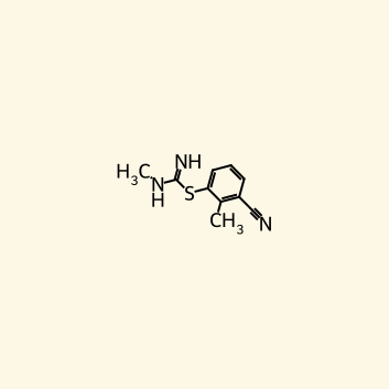 CNC(=N)Sc1cccc(C#N)c1C